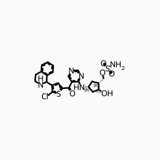 NS(=O)(=O)OC[C@H]1C[C@@H](Nc2ncncc2C(=O)c2cc(C3NCCc4ccccc43)c(Cl)s2)C[C@@H]1O